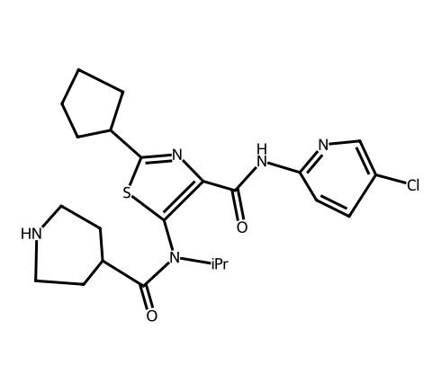 CC(C)N(C(=O)C1CCNCC1)c1sc(C2CCCC2)nc1C(=O)Nc1ccc(Cl)cn1